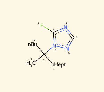 CCCCCCCC(C)(CCCC)n1ncnc1F